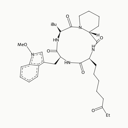 CCC(=O)CCCCC[C@@H]1NC(=O)[C@H]2CCCCN2C(=O)[C@H]([C@H](C)CC)NC(=O)[C@H](Cc2cn(OC)c3ccccc23)NC1=O